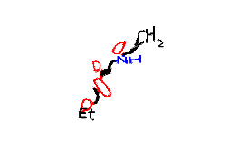 C=CC(=O)NCCC(=O)OCCOCC